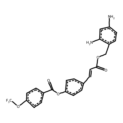 Nc1ccc(COC(=O)C=Cc2ccc(OC(=O)c3ccc(OC(F)(F)F)cc3)cc2)c(N)c1